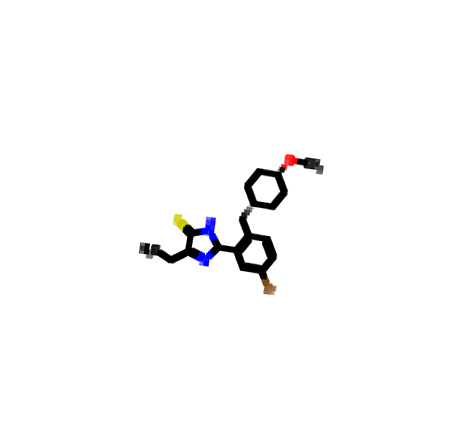 CCC1=NC(c2cc(Br)ccc2C[C@H]2CC[C@@H](OC)CC2)NC1=S